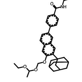 CCNC(=O)c1ccc(-c2ccc3cc(OCOC(C)OCC)c(C45CC6CC(CC(C6)C4)C5)cc3c2)cc1